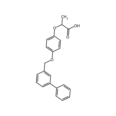 CC(Oc1ccc(OCc2cccc(-c3ccccc3)c2)cc1)C(=O)O